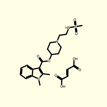 Cc1c(C(=O)OC2CCN(CCNS(C)(=O)=O)CC2)c2ccccc2n1C.O=C(O)C=CC(=O)O